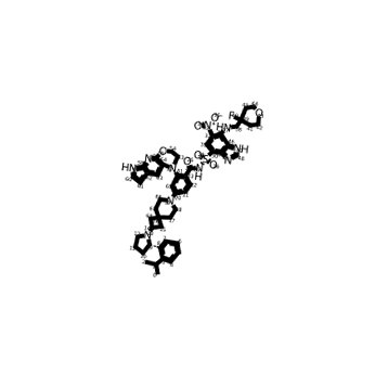 CC(C)c1ccccc1[C@@H]1CCCN1C1CC2(CCN(c3ccc(C(=O)NS(=O)(=O)c4cc([N+](=O)[O-])c(NCC5(F)CCOCC5)c5[nH]cnc45)c(N4CCOc5nc6[nH]ccc6cc54)c3)CC2)C1